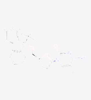 CC(C)(C)[Si](OC[C@H]1O[C@@H](n2cc(F)c(N)nc2=O)CS1)(c1ccccc1)c1ccccc1